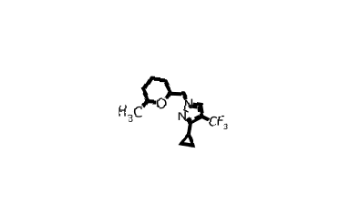 CC1CCCC(Cn2cc(C(F)(F)F)c(C3CC3)n2)O1